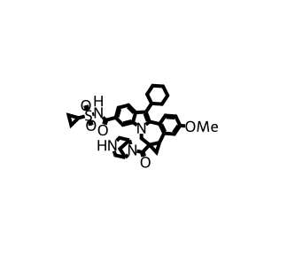 COc1ccc2c(c1)C1CC1(C(=O)N1C3CNCC1C3)Cn1c-2c(C2CCCCC2)c2ccc(C(=O)NS(=O)(=O)C3CC3)cc21